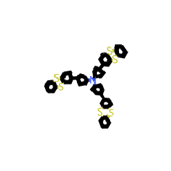 c1ccc2c(c1)Sc1ccc(-c3ccc(N(c4ccc(-c5ccc6c(c5)Sc5ccccc5S6)cc4)c4ccc(-c5ccc6c(c5)Sc5ccccc5S6)cc4)cc3)cc1S2